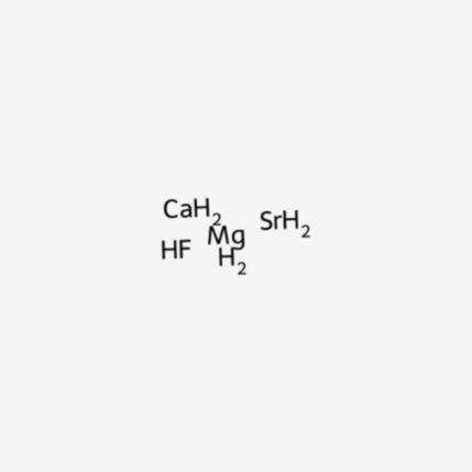 F.[CaH2].[MgH2].[SrH2]